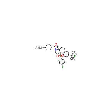 CC(=O)N[C@H]1CC[C@H](C(=O)N2CC[C@@]3(S(=O)(=O)c4ccc(F)cc4)c4ccc(C(F)(C(F)(F)F)C(F)(F)F)cc4CC[C@@H]23)CC1